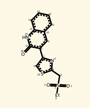 CCS(=O)(=O)Cc1nc(-c2cc3ccccc3[nH]c2=O)cs1